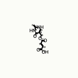 C=C1NC=C(COC(=O)/C=C/C(=O)O)C(=O)N1